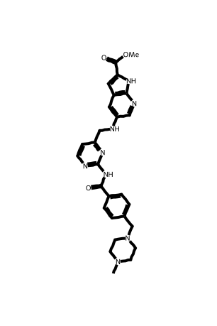 COC(=O)c1cc2cc(NCc3ccnc(NC(=O)c4ccc(CN5CCN(C)CC5)cc4)n3)cnc2[nH]1